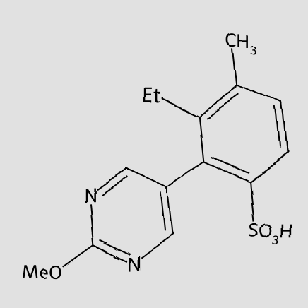 CCc1c(C)ccc(S(=O)(=O)O)c1-c1cnc(OC)nc1